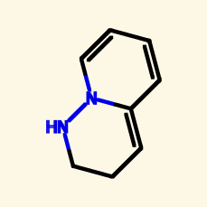 C1=CC2=CCCNN2C=C1